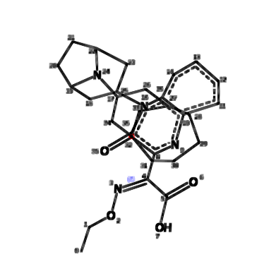 CCO/N=C(\C(=O)O)c1nc2ccccc2n(C2CC3CCC(C2)N3C2CC3CCCCC(C3)C2)c1=O